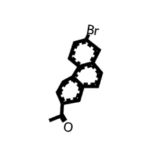 CC(=O)c1ccc2c(ccc3cc(Br)ccc32)c1